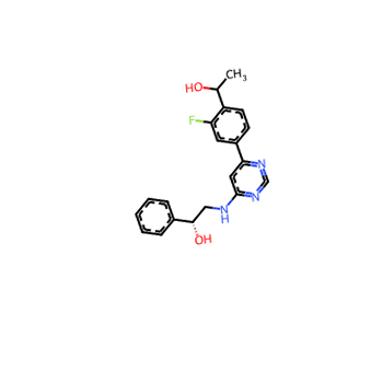 CC(O)c1ccc(-c2cc(NC[C@H](O)c3ccccc3)ncn2)cc1F